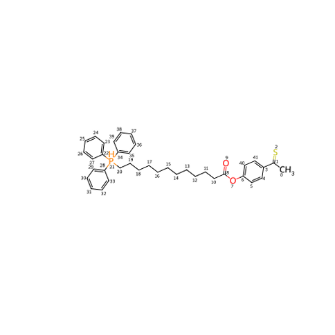 CC(=S)c1ccc(OC(=O)CCCCCCCCCCC[PH](c2ccccc2)(c2ccccc2)c2ccccc2)cc1